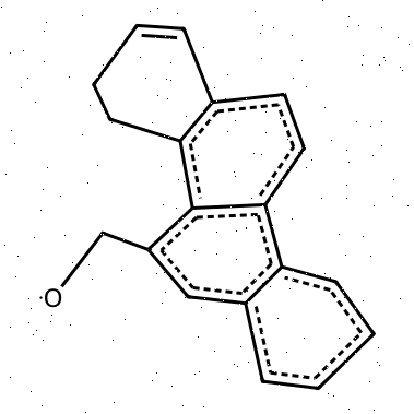 [O]Cc1cc2ccccc2c2ccc3c(c12)CCC=C3